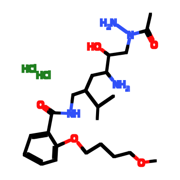 COCCCCOc1ccccc1C(=O)NCC(CC(N)C(O)CN(N)C(C)=O)C(C)C.Cl.Cl